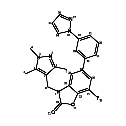 Cc1nn(C)c(C)c1Cn1c(=O)oc2c(F)cc(-c3cccc(-n4cccn4)c3)cc21